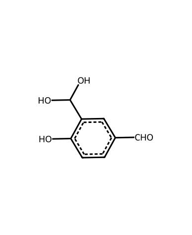 O=Cc1ccc(O)c(C(O)O)c1